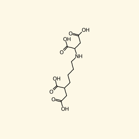 O=C(O)CC(CCCCNC(CC(=O)O)C(=O)O)C(=O)O